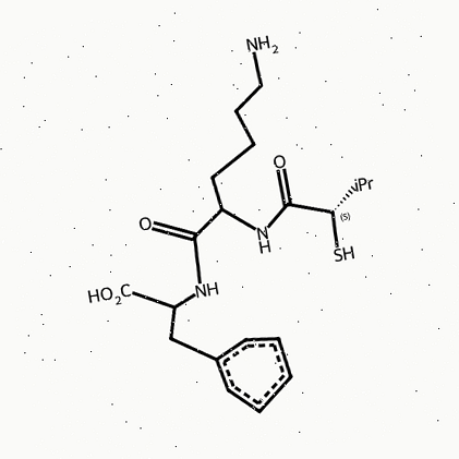 CC(C)[C@H](S)C(=O)NC(CCCCN)C(=O)NC(Cc1ccccc1)C(=O)O